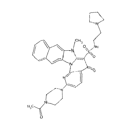 CC(=O)N1CCN(c2ccc3c(=O)c(S(=O)(=O)NCCN4CCCC4)c4n(C)c5cc6ccccc6cc5n4c3n2)CC1